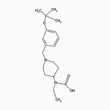 CCN(C(=O)O)C1CCN(Cc2cccc(OC(C)(C)C)c2)CC1